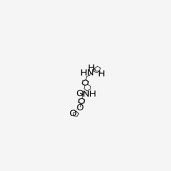 O=C(N[C@H]1CCc2cc(CCN[C@@H]3C[C@H]4CC[C@@H]3C4)ccc2C1)c1ccc(OC[C@@H]2CCCO2)cc1